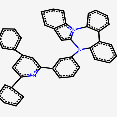 c1ccc(-c2cc(-c3ccccc3)nc(-c3cccc(N4c5ccccc5-c5ccccc5-n5c4cc4ccccc45)c3)c2)cc1